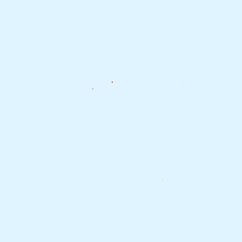 Cl.Cl.[CH2]=[Zr]([C]1=CC(C(C)(C)C)=CC1)([c]1ccc(C(C)(C)C)cc1)([c]1ccc(C(C)(C)C)cc1)[CH]1C=C(C)c2cc3c(cc2C1(C)C)Cc1cc2c(cc1-3)C(C)=CCC2(C)C